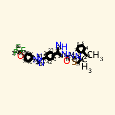 CC(C)c1ccccc1N1CCS/C1=N\C(=O)N/C=C(\C#N)c1ccc(-c2ncn(-c3ccc(OC(F)(F)F)cc3)n2)cc1